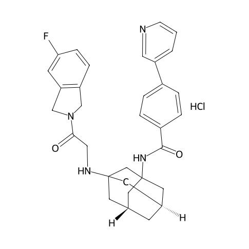 Cl.O=C(NC12C[C@@H]3C[C@@H](CC(NCC(=O)N4Cc5ccc(F)cc5C4)(C3)C1)C2)c1ccc(-c2cccnc2)cc1